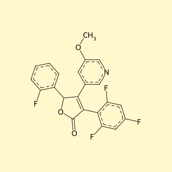 COc1cncc(C2=C(c3c(F)cc(F)cc3F)C(=O)OC2c2ccccc2F)c1